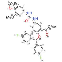 CCOC(=O)Oc1ccc(NC(=O)Nc2ccc(OC(c3ccc(F)cc3)c3ccc(F)cc3)c(C(=O)OC)c2)cc1OC